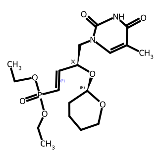 CCOP(=O)(/C=C/[C@@H](Cn1cc(C)c(=O)[nH]c1=O)O[C@@H]1CCCCO1)OCC